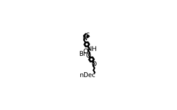 CCCCCCCCCCCCCCOc1ccc(OCC(=O)Nc2ccc(C[n+]3ccsc3)cc2)cc1.[Br-]